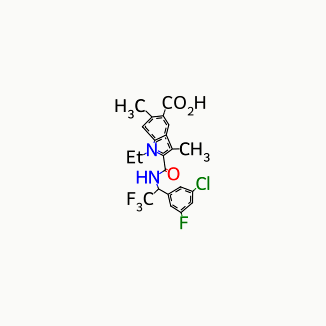 CCn1c(C(=O)NC(c2cc(F)cc(Cl)c2)C(F)(F)F)c(C)c2cc(C(=O)O)c(C)cc21